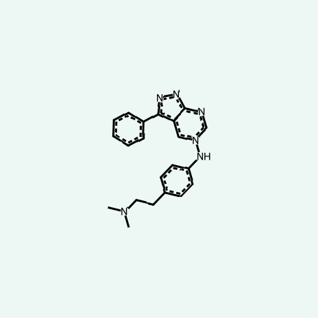 CN(C)CCc1ccc(Nn2cnc3nnc(-c4ccccc4)c-3c2)cc1